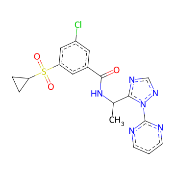 CC(NC(=O)c1cc(Cl)cc(S(=O)(=O)C2CC2)c1)c1ncnn1-c1ncccn1